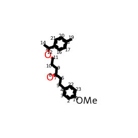 COc1ccc(CCC(=O)CCCOC(C)c2ccc(C)cc2)cc1